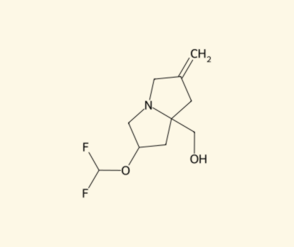 C=C1CN2CC(OC(F)F)CC2(CO)C1